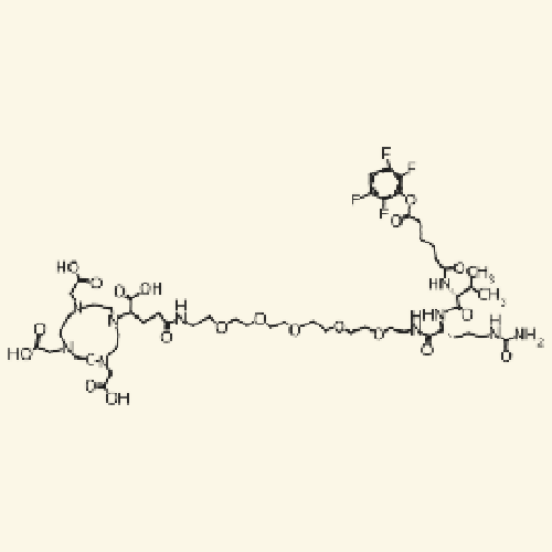 CC(C)[C@@H](NC(=O)CCCCC(=O)Oc1c(F)c(F)cc(F)c1F)C(=O)N[C@H](CCCNC(N)=O)C(=O)NCCOCCOCCOCCOCCOCCNC(=O)CCC(C(=O)O)N1CCN(CC(=O)O)CCN(CC(=O)O)CCN(CC(=O)O)CC1